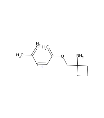 C=C(C)/N=C\C(=C)OCC1(N)CCC1